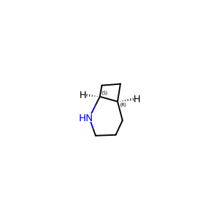 C1CN[C@H]2CC[C@H]2C1